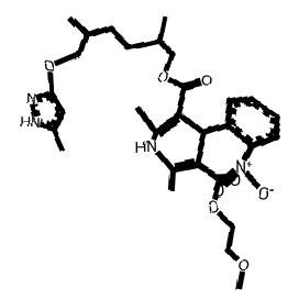 COCCOC(=O)C1=C(C)NC(C)=C(C(=O)OCC(C)CCC(C)COc2cc(C)[nH]n2)C1c1ccccc1[N+](=O)[O-]